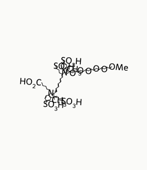 COCCOCCOCCOCCOCCOCCN(/C(=C/C=C/C=C/C=C/C1=[N+](CCCCCC(=O)O)c2ccc(S(=O)(=O)O)cc2C1(C)CCCS(=O)(=O)O)CCCS(=O)(=O)O)c1ccc(S(=O)(=O)O)cc1C